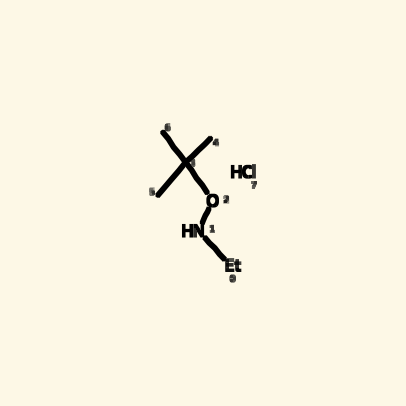 CCNOC(C)(C)C.Cl